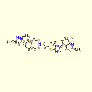 Cc1ccc2c(-c3nnc(SCCCN4CCc5ccc(-c6cc(C)nn6C)cc5CC4)n3C)ccc(F)c2n1